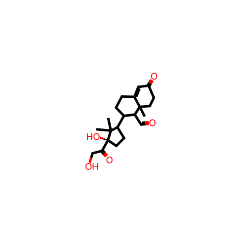 CC12CCC(=O)C=C1CCC(C1CC[C@](O)(C(=O)CO)C1(C)C)C2C=O